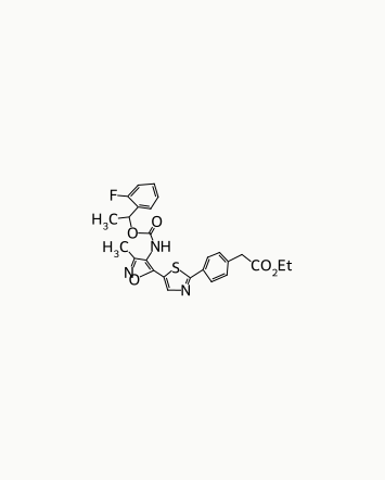 CCOC(=O)Cc1ccc(-c2ncc(-c3onc(C)c3NC(=O)OC(C)c3ccccc3F)s2)cc1